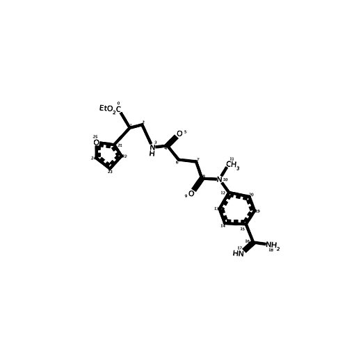 CCOC(=O)C(CNC(=O)CCC(=O)N(C)c1ccc(C(=N)N)cc1)c1ccco1